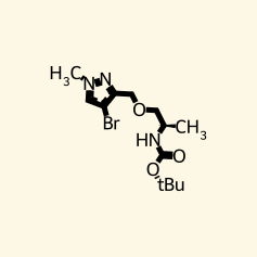 C[C@H](COCc1nn(C)cc1Br)NC(=O)OC(C)(C)C